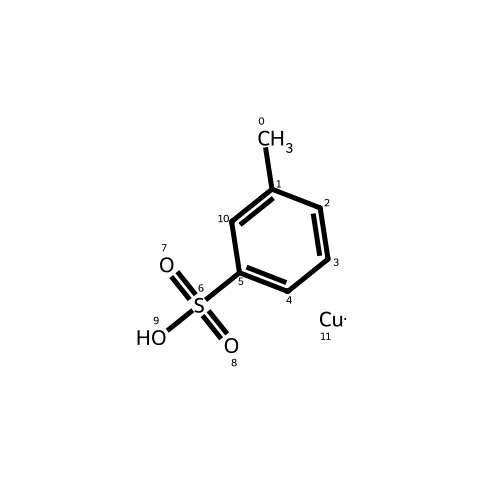 Cc1cccc(S(=O)(=O)O)c1.[Cu]